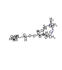 B/C(C)=C/C1Cc2nc(cs2)[C@@H](C)C[C@@H](NCC(=O)NCCOCCOCCNC(=O)CCCCC2SC[C@@H]3NC(=O)N[C@H]23)CC(=O)OC(C)C/C(C)=C/C=C\C(=O)O1